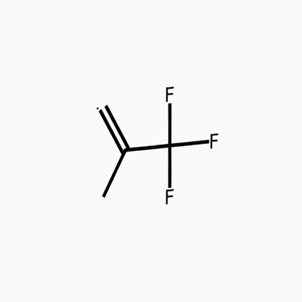 [CH]=C(C)C(F)(F)F